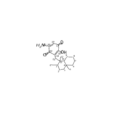 CC1CCC2(C)CCCCC2C1(C)CC1=C(O)C(=O)C=C(N)C1=O